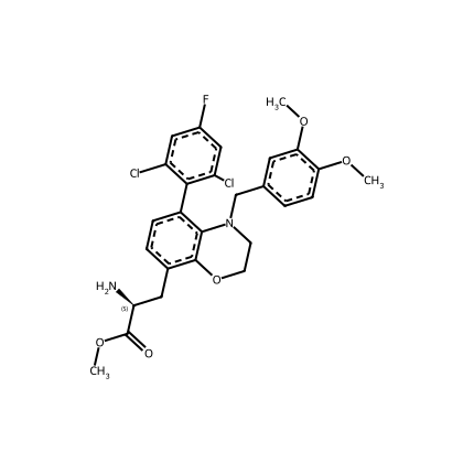 COC(=O)[C@@H](N)Cc1ccc(-c2c(Cl)cc(F)cc2Cl)c2c1OCCN2Cc1ccc(OC)c(OC)c1